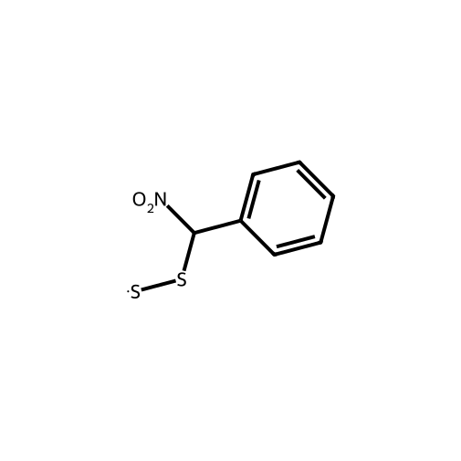 O=[N+]([O-])C(S[S])c1ccccc1